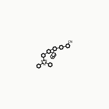 N#Cc1cccc(-c2ccc(-c3ccc4c(c3)C3(c5cc(-c6cccc(-c7nc(-c8ccccc8)nc(-c8ccccc8)n7)c6)ccc5-4)C4CC5CC(C4)CC3C5)cc2)c1